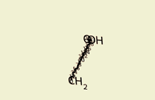 C=CCCCC=CCC=CCCCCCCCCCC(=O)O